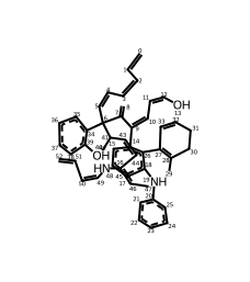 C=C/C=C\C=C/C(C(=C)/C(=C\C=C/O)c1cccc(Nc2ccccc2)c1C1=C(C)CCC=C1)(c1ccccc1O)C(C)/C=C\C(=C/C)N/C=C\C=C